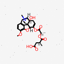 COc1ccc2c3c1O[C@H]1C(OC(=O)[C@H](C)OC(=O)[C@@H](C)CC(=O)O)=CC[C@@]4(O)[C@@H](C2)N(C)CC[C@]314